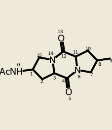 CC(=O)NC1CC2C(=O)N3CC(C)CC3C(=O)N2C1